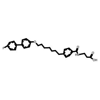 O=C(O)CCNC(=O)c1ccc(CCCCCCCOc2ccc(-c3ccc(F)cc3)cc2)cc1